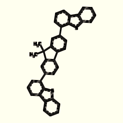 CC1(C)c2cc(-c3cccc4c3sc3ccccc34)ccc2-c2ccc(-c3cccc4c3sc3ccccc34)cc21